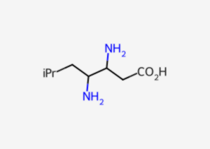 CC(C)CC(N)C(N)CC(=O)O